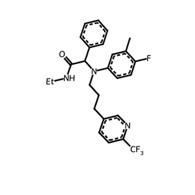 CCNC(=O)C(c1ccccc1)N(CCCc1ccc(C(F)(F)F)nc1)c1ccc(F)c(C)c1